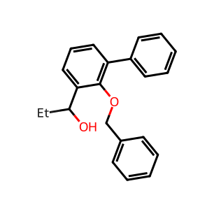 CCC(O)c1cccc(-c2ccccc2)c1OCc1ccccc1